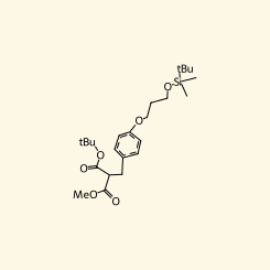 COC(=O)C(Cc1ccc(OCCCO[Si](C)(C)C(C)(C)C)cc1)C(=O)OC(C)(C)C